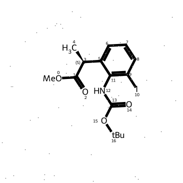 COC(=O)[C@@H](C)c1cccc(I)c1NC(=O)OC(C)(C)C